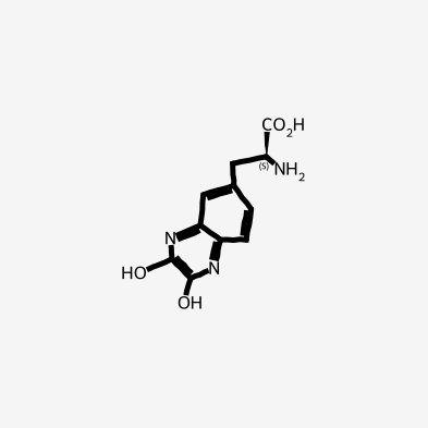 N[C@@H](Cc1ccc2nc(O)c(O)nc2c1)C(=O)O